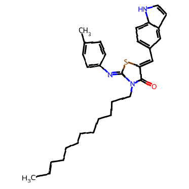 CCCCCCCCCCCCN1C(=O)C(=Cc2ccc3[nH]ccc3c2)SC1=Nc1ccc(C)cc1